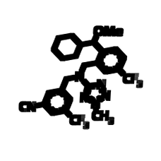 [C-]#[N+]c1cc(CN(Cc2cc(C(F)(F)F)ccc2C(OC)C2CCCCC2)c2nnn(C)n2)cc(C(F)(F)F)c1